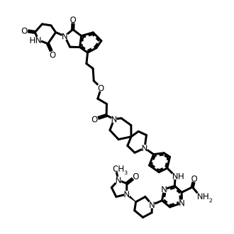 CN1CCN([C@@H]2CCCN(c3cnc(C(N)=O)c(Nc4ccc(N5CCC6(CCN(C(=O)CCOCCCc7cccc8c7CN(C7CCC(=O)NC7=O)C8=O)CC6)CC5)cc4)n3)C2)C1=O